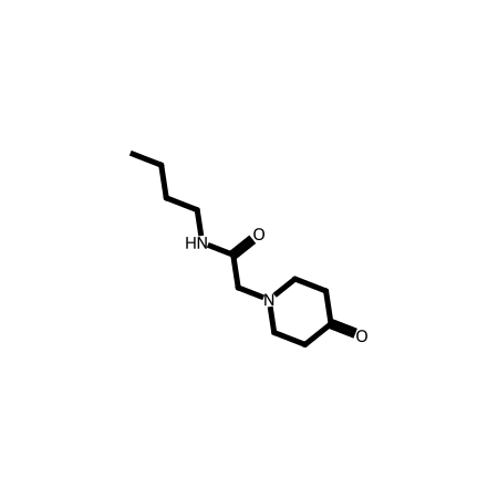 CCCCNC(=O)CN1CCC(=O)CC1